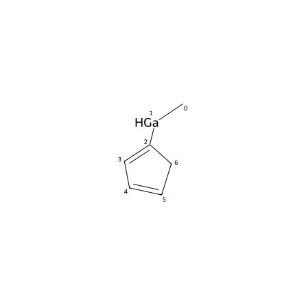 [CH3][GaH][C]1=CC=CC1